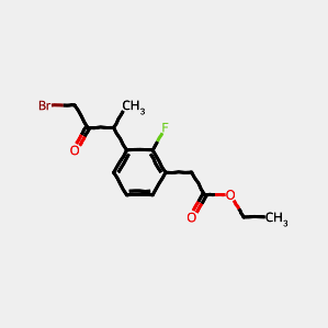 CCOC(=O)Cc1cccc(C(C)C(=O)CBr)c1F